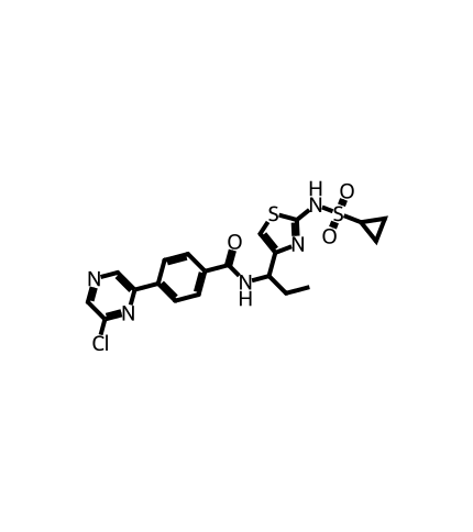 CCC(NC(=O)c1ccc(-c2cncc(Cl)n2)cc1)c1csc(NS(=O)(=O)C2CC2)n1